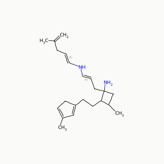 C=C(C)C/C=C/N/C=C/CC1(N)CC(C)C1CCC1=CC(C)=CC1